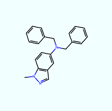 Cn1ncc2cc(N(Cc3ccccc3)Cc3ccccc3)ccc21